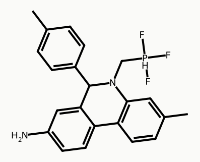 Cc1ccc(C2c3cc(N)ccc3-c3ccc(C)cc3N2C[PH](F)(F)F)cc1